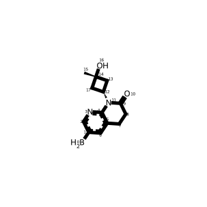 Bc1cnc2c(c1)CCC(=O)N2[C@H]1C[C@@](C)(O)C1